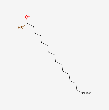 CCCCCCCCCCCCCCCCCCCCCCCCC(O)S